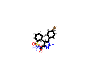 NC(=O)c1n[nH]c(-c2ccc(Br)cc2)c1-c1ccccc1S(N)(=O)=O